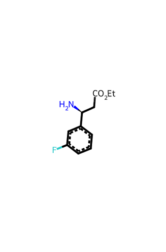 CCOC(=O)C[C@H](N)c1cccc(F)c1